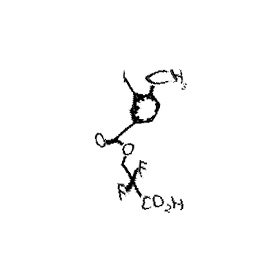 Cc1ccc(C(=O)OCC(F)(F)C(=O)O)cc1I